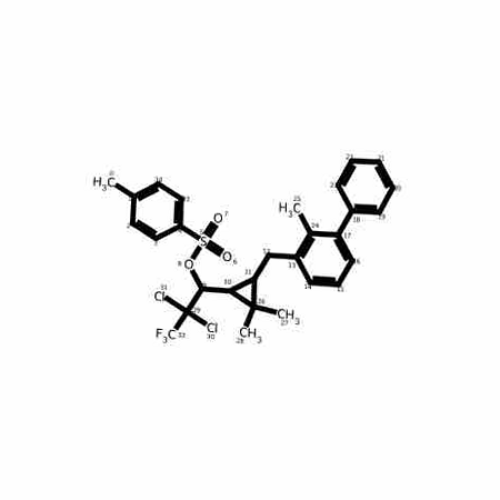 Cc1ccc(S(=O)(=O)OC(C2C(Cc3cccc(-c4ccccc4)c3C)C2(C)C)C(Cl)(Cl)C(F)(F)F)cc1